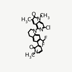 Cc1cc2c(N3CCCc4cc(-c5cccn(C)c5=O)c(C(F)F)cc43)nc(Cl)cc2n(C)c1=O